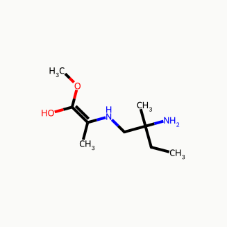 CCC(C)(N)CN/C(C)=C(/O)OC